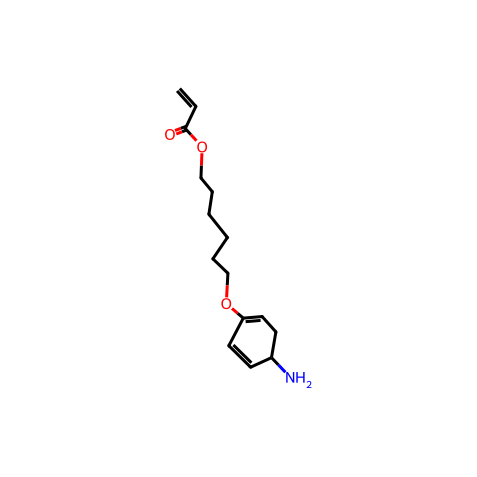 C=CC(=O)OCCCCCCOC1=CCC(N)C=C1